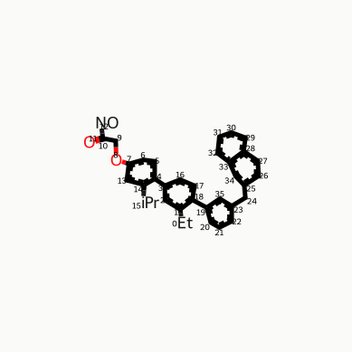 CCc1cc(-c2ccc(OCC(=O)N=O)cc2C(C)C)ccc1-c1cccc(Cc2ccc3ccccc3c2)c1